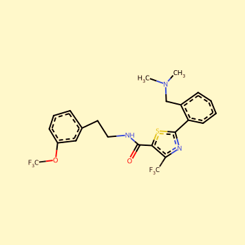 CN(C)Cc1ccccc1-c1nc(C(F)(F)F)c(C(=O)NCCc2cccc(OC(F)(F)F)c2)s1